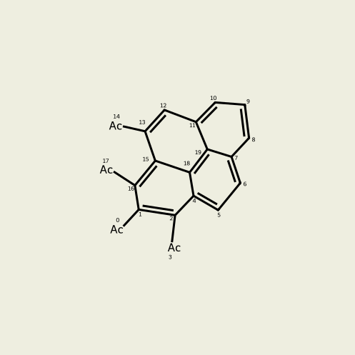 CC(=O)c1c(C(C)=O)c2ccc3cccc4cc(C(C)=O)c(c1C(C)=O)c2c34